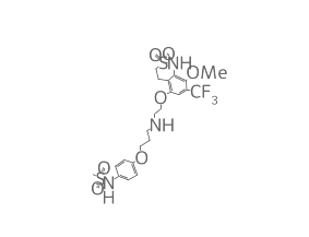 COc1c(C(F)(F)F)cc(OCCNCCCOc2ccc(NS(C)(=O)=O)cc2)c2c1NS(=O)(=O)CC2